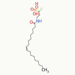 CCCCCCCC/C=C\CCCCCCCC(=O)NCCC(F)P(=O)(O)O